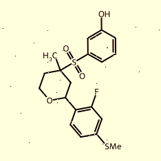 CSc1ccc(C2CC(C)(S(=O)(=O)c3cccc(O)c3)CCO2)c(F)c1